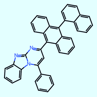 c1ccc(-c2cc(-c3c4ccccc4c(-c4cccc5ccccc45)c4ccccc34)nc3nc4ccccc4n23)cc1